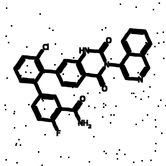 NC(=O)c1cc(-c2cccc(Cl)c2-c2ccc3c(=O)n(-c4cncc5ccccc45)c(=O)[nH]c3c2)ccc1F